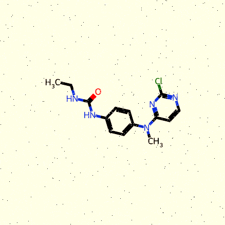 CCNC(=O)Nc1ccc(N(C)c2ccnc(Cl)n2)cc1